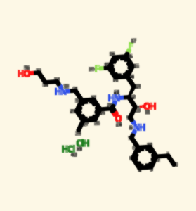 CCc1cccc(CNC[C@@H](O)[C@H](Cc2cc(F)cc(F)c2)NC(=O)c2cc(C)cc(CNCCCO)c2)c1.Cl.Cl